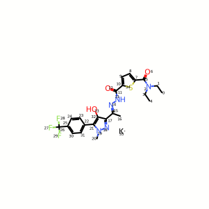 CCN(CC)C(=O)c1ccc(C(=O)NN=C(C)c2nn(C)c(-c3ccc(C(F)(F)F)cc3)c2O)s1.[K]